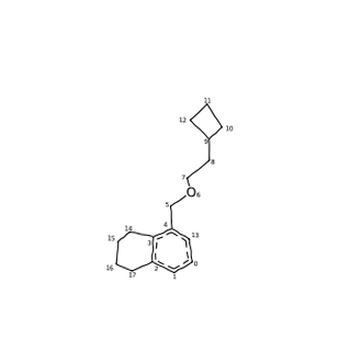 c1cc2c(c(COCCC3CCC3)c1)CCCC2